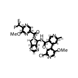 COc1cnc(Cl)cc1-c1cc(C)ncc1C(=O)NC1c2ncsc2CN1C(=O)c1cnc(C(F)F)c(OC)n1